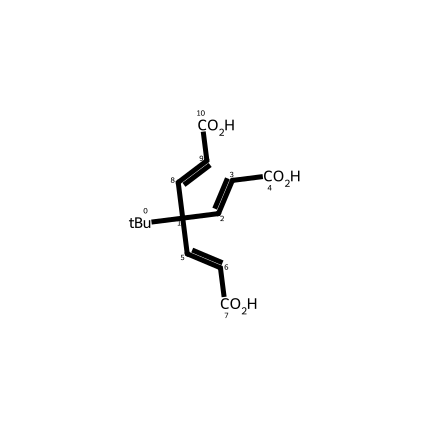 CC(C)(C)C(C=CC(=O)O)(C=CC(=O)O)C=CC(=O)O